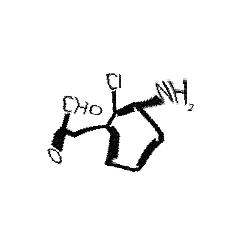 Nc1cccc(C(=O)C=O)c1Cl